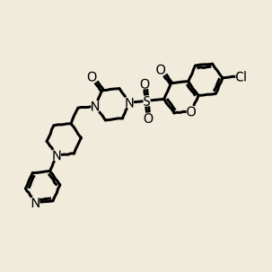 O=C1CN(S(=O)(=O)c2coc3cc(Cl)ccc3c2=O)CCN1CC1CCN(c2ccncc2)CC1